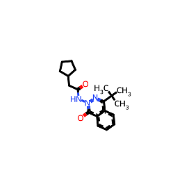 CC(C)(C)c1nn(NC(=O)CC2CCCC2)c(=O)c2ccccc12